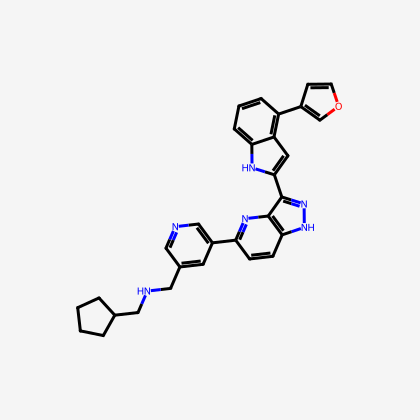 c1cc(-c2ccoc2)c2cc(-c3n[nH]c4ccc(-c5cncc(CNCC6CCCC6)c5)nc34)[nH]c2c1